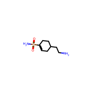 NCCC1CC=C(S(N)(=O)=O)CC1